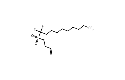 C=CCOS(=O)(=O)C(F)(F)CCCCCCCCC(F)(F)F